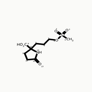 CS(=O)(=O)OCCCC1(C(=O)O)CCC(=O)N1